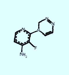 Nc1ccnc(N2C=CN=NC2)c1F